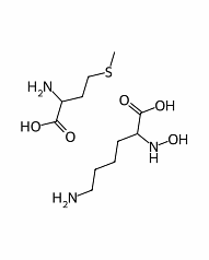 CSCCC(N)C(=O)O.NCCCCC(NO)C(=O)O